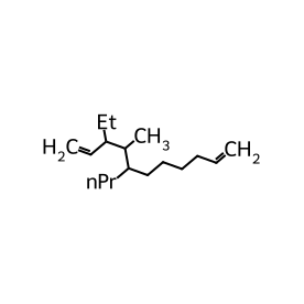 C=CCCCCC(CCC)C(C)C(C=C)CC